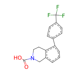 O=C(O)N1CCc2c(cccc2-c2ccc(C(F)(F)F)cc2)C1